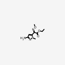 CCOC(=O)C(=NOC)c1cc(N)nn1C